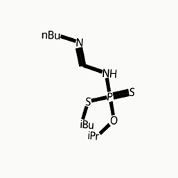 CCCCN=CNP(=S)(OC(C)C)SC(C)CC